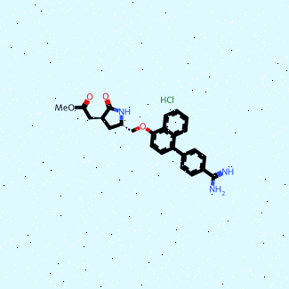 COC(=O)C[C@@H]1C[C@@H](COc2ccc(-c3ccc(C(=N)N)cc3)c3ccccc23)NC1=O.Cl